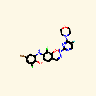 Oc1c(Cl)cc(Br)cc1Nc1ccc(/C=N\Nc2ncc(F)c(N3CCOCC3)n2)c(O)c1Cl